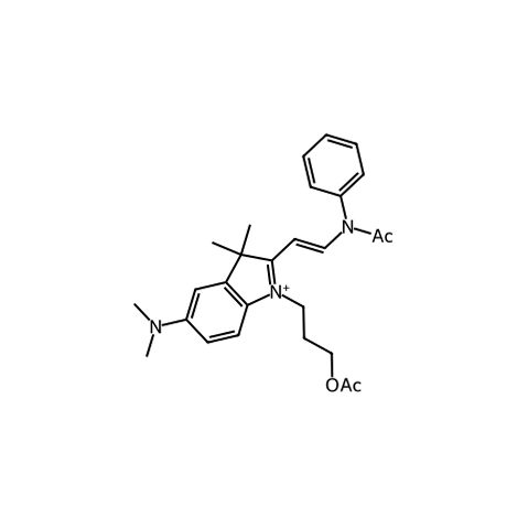 CC(=O)OCCC[N+]1=C(/C=C/N(C(C)=O)c2ccccc2)C(C)(C)c2cc(N(C)C)ccc21